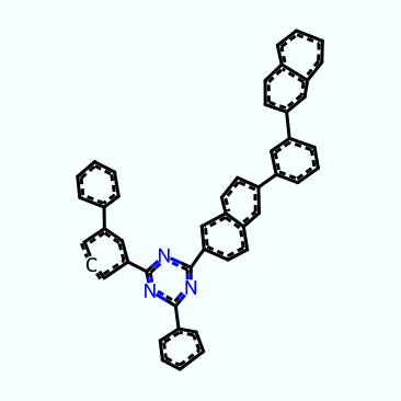 c1ccc(-c2cccc(-c3nc(-c4ccccc4)nc(-c4ccc5cc(-c6cccc(-c7ccc8ccccc8c7)c6)ccc5c4)n3)c2)cc1